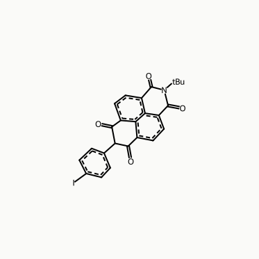 CC(C)(C)N1C(=O)c2ccc3c4c(ccc(c24)C1=O)C(=O)C(c1ccc(I)cc1)C3=O